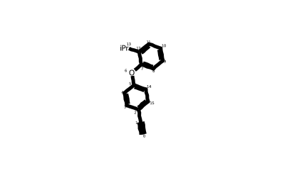 C#Cc1ccc(Oc2ccccc2C(C)C)cc1